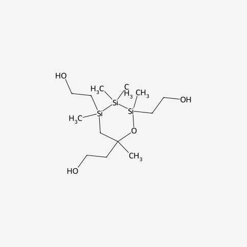 CC1(CCO)C[Si](C)(CCO)[Si](C)(C)[Si](C)(CCO)O1